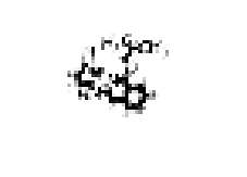 CC(C)COc1nc(Nc2cc[nH]n2)cc2ccccc12